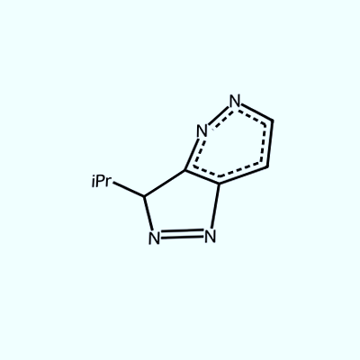 CC(C)C1N=Nc2ccnnc21